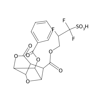 O=C(OC1C2OC(=O)C3C2OC1C3C(=O)OCC(F)C(F)(F)S(=O)(=O)O)c1ccccc1